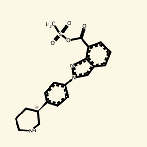 CS(=O)(=O)OC(=O)c1cccc2cn(-c3ccc([C@@H]4CCCNC4)cc3)nc12